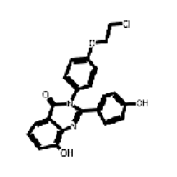 O=c1c2cccc(O)c2nc(-c2ccc(O)cc2)n1-c1ccc(OCCCl)cc1